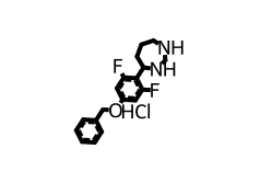 Cl.Fc1cc(OCc2ccccc2)cc(F)c1C1CCCNCN1